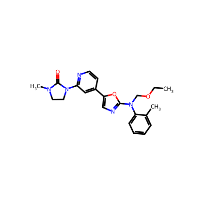 CCOCN(c1ncc(-c2ccnc(N3CCN(C)C3=O)c2)o1)c1ccccc1C